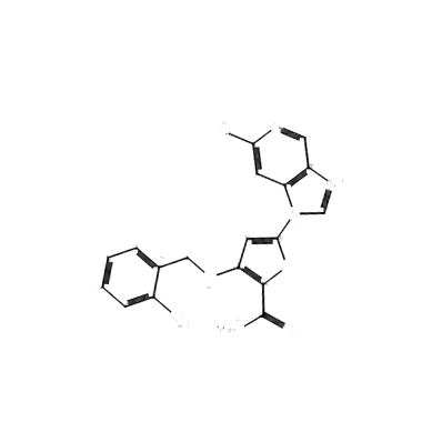 COC(=O)c1sc(-n2cnc3cnc(Cl)cc32)cc1OCc1ccccc1C(F)(F)F